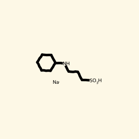 O=S(=O)(O)CCCNC1CCCCC1.[Na]